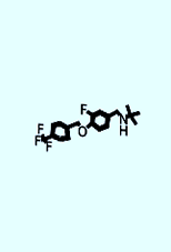 CC(C)(C)NCc1ccc(OCc2ccc(C(F)(F)F)cc2)c(F)c1